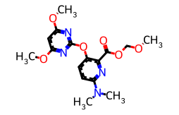 COCOC(=O)c1nc(N(C)C)ccc1Oc1nc(OC)cc(OC)n1